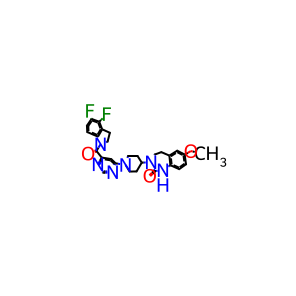 COc1ccc2c(c1)CCN(C1CCN(c3cc(C(=O)N4CCc5c4ccc(F)c5F)ncn3)CC1)C(=O)N2